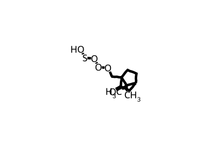 CC1(C)C2CCC1(COOOSO)C(=O)C2